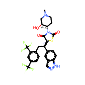 CN1CC[C@H](N2C(=O)S/C(=C(/Cc3ccc(C(F)(F)F)cc3C(F)(F)F)c3ccc4[nH]ncc4c3)C2=O)[C@@H](O)C1